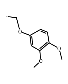 [CH2]COc1ccc(OC)c(OC)c1